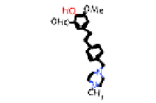 COc1cc(/C=C/c2ccc(CN3CCN(C)CC3)cc2)cc(C=O)c1O